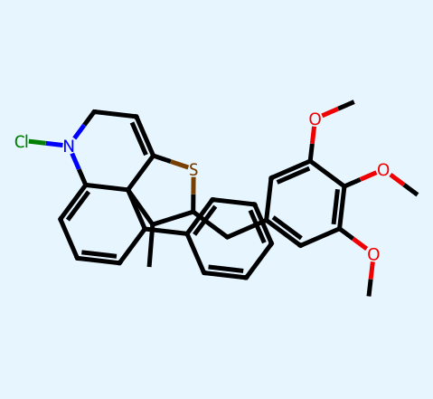 COc1cc(CC2SC3=CCN(Cl)C4=CC=CC(c5ccccc5)C34C2C)cc(OC)c1OC